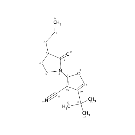 CCCC1CCN(c2occ(C(C)(C)C)c2C#N)C1=O